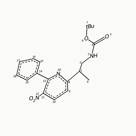 CC(CNC(=O)OC(C)(C)C)c1ccc([N+](=O)[O-])c(-c2ccccc2)n1